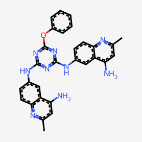 Cc1cc(N)c2cc(Nc3nc(Nc4ccc5nc(C)cc(N)c5c4)nc(Oc4ccccc4)n3)ccc2n1